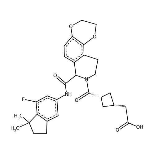 CC1(C)CCc2cc(NC(=O)C3c4ccc5c(c4CCN3C(=O)[C@H]3C[C@@H](CC(=O)O)C3)OCCO5)cc(F)c21